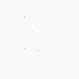 COP(OC)c1ccccc1Nc1nc(Nc2ccc(N3CCC(N4CCN(C)CC4)CC3)c(CC(C)C)c2)ncc1Cl